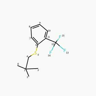 CC(C)(C)CSc1ccccc1C(F)(F)F